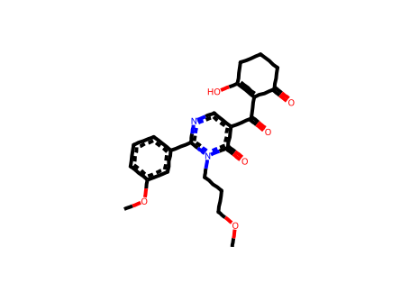 COCCCn1c(-c2cccc(OC)c2)ncc(C(=O)C2=C(O)CCCC2=O)c1=O